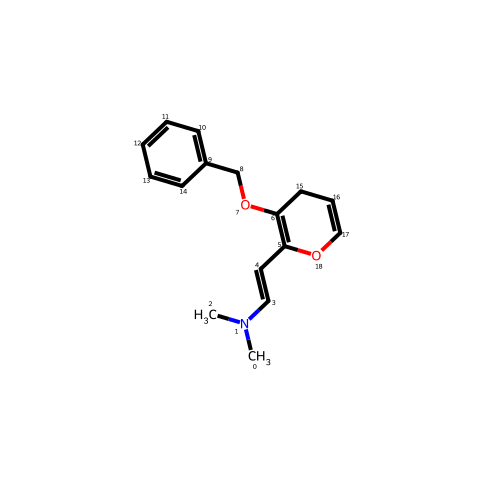 CN(C)/C=C/C1=C(OCc2ccccc2)CC=CO1